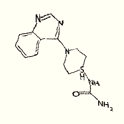 NC(=O)N[SH]1CCN(c2ncnc3ccccc23)CC1